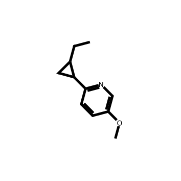 CCC1CC1c1ccc(OC)cn1